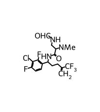 C=C(CCC(NC(=O)C(CNC=O)NC)c1ccc(F)c(Cl)c1F)C(F)(F)F